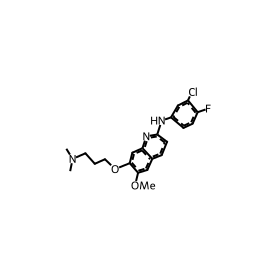 COc1cc2ccc(Nc3ccc(F)c(Cl)c3)nc2cc1OCCCN(C)C